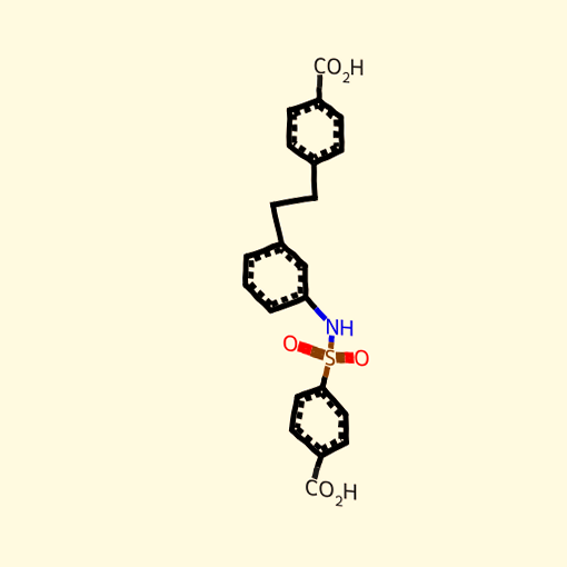 O=C(O)c1ccc(CCc2cccc(NS(=O)(=O)c3ccc(C(=O)O)cc3)c2)cc1